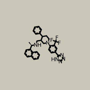 C[C@@H](NCC1CN(c2ccc(-c3nnn[nH]3)cc2C(F)(F)F)CCC1c1ccccc1)c1cccc2ccccc12